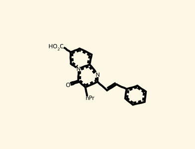 CCCc1c(C=Cc2ccccc2)nc2ccc(C(=O)O)cn2c1=O